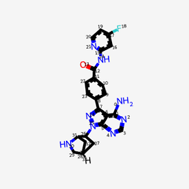 Nc1ncnc2c1c(-c1ccc(C(=O)Nc3cc(F)ccn3)cc1)nn2C1C[C@@H]2CNC1C2